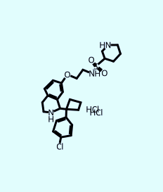 Cl.Cl.O=S(=O)(NCCOc1ccc2c(c1)C(C1(c3ccc(Cl)cc3)CCC1)NCC2)C1CCCNC1